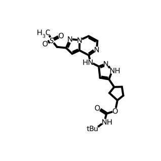 CC(C)(C)NC(=O)OC1CCC(c2cc(Nc3nccn4nc(CS(C)(=O)=O)cc34)n[nH]2)C1